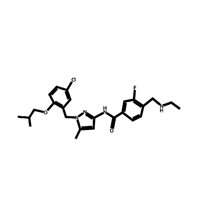 CCNCc1ccc(C(=O)Nc2cc(C)n(Cc3cc(Cl)ccc3OCC(C)C)n2)cc1F